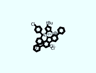 CCCCC1C=C(C(C)(C)C)C=[C]1[Zr+2](=[C](c1ccc(Cl)cc1)c1ccc(Cl)cc1)[CH]1c2cc(-c3ccccc3)ccc2-c2ccc(-c3ccccc3)cc21.[Cl-].[Cl-]